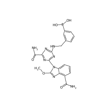 COc1nc2c(C(N)=O)cccc2n1-c1nc(NCc2cccc(B(O)O)c2)nc(C(N)=O)n1